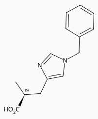 C[C@@H](Cc1cn(Cc2ccccc2)cn1)C(=O)O